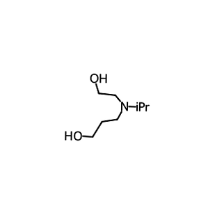 CC(C)N(CCO)CCCO